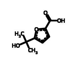 CC(C)(O)c1ccc(C(=O)O)o1